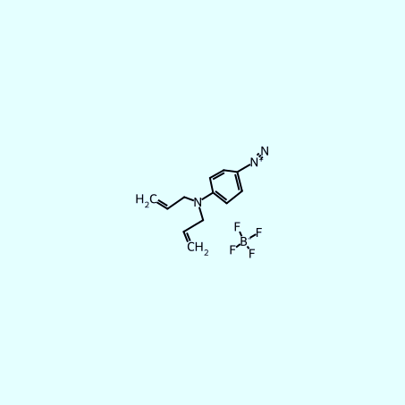 C=CCN(CC=C)c1ccc([N+]#N)cc1.F[B-](F)(F)F